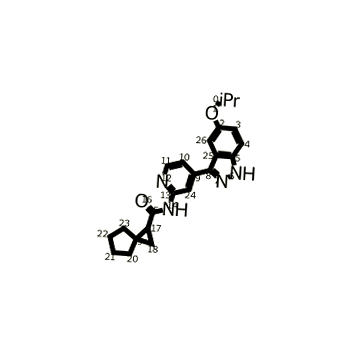 CC(C)Oc1ccc2[nH]nc(-c3ccnc(NC(=O)C4CC45CCCC5)c3)c2c1